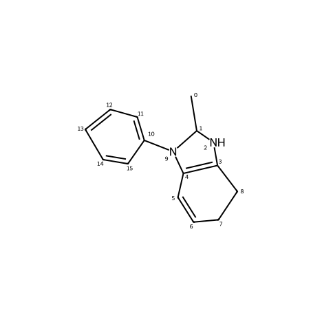 CC1NC2=C(C=CCC2)N1c1ccccc1